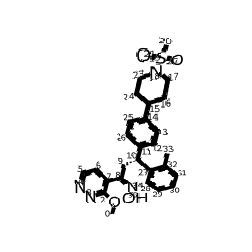 COc1nnccc1/C(C[C@H](c1ccc(C2CCN(S(C)(=O)=O)CC2)cc1)c1ccccc1C)=N\O